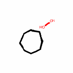 C1CCCCCCC1.OO